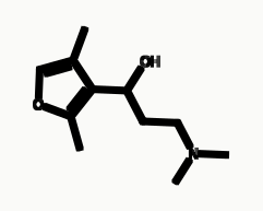 Cc1coc(C)c1C(O)CCN(C)C